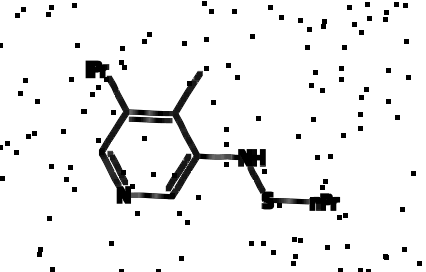 CCCSNc1cncc(C(C)C)c1C